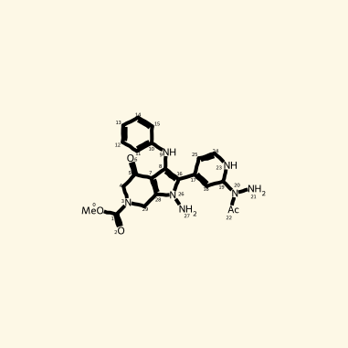 COC(=O)N1CC(=O)c2c(Nc3ccccc3)c(C3=CC(N(N)C(C)=O)NC=C3)n(N)c2C1